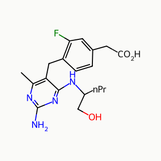 CCCC(CO)Nc1nc(N)nc(C)c1Cc1ccc(CC(=O)O)cc1F